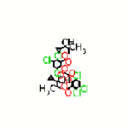 CC(COC(=O)c1c(Cl)c(Cl)cc(Cl)c1OC(=O)C(=O)Oc1c(Cl)cc(Cl)c(Cl)c1C(=O)OCC(C)C(C)C1CC1)C(C)C1CC1